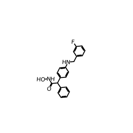 O=C(NO)C(c1ccccc1)c1ccc(NCc2cccc(F)c2)cc1